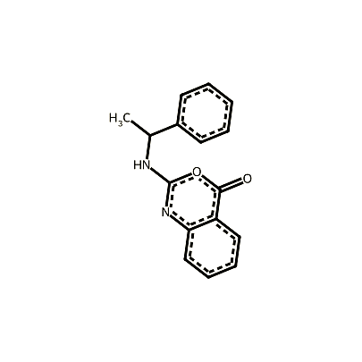 CC(Nc1nc2ccccc2c(=O)o1)c1ccccc1